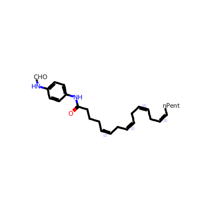 CCCCC/C=C\C/C=C\C/C=C\C/C=C\CCCC(=O)Nc1ccc(NC=O)cc1